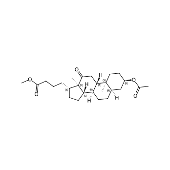 COC(=O)CCC[C@H]1CC[C@H]2[C@@H]3CC[C@@H]4C[C@H](OC(C)=O)CC[C@]4(C)[C@H]3CC(=O)[C@]12C